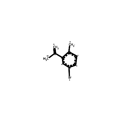 [CH2]c1ccc(Br)cc1C(=C)C